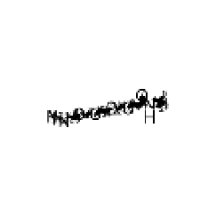 CC(C)(I)CNC(=O)CCOCCOCCOCCOCCN=[N+]=[N-]